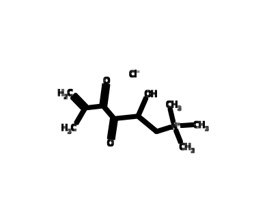 C=C(C)C(=O)C(=O)C(O)C[N+](C)(C)C.[Cl-]